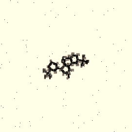 Cn1cc(-c2cccc(C(F)(F)F)c2)c(=O)c(-c2cc(C(F)(F)F)ccc2Cl)c1